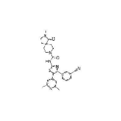 Cc1cc(-c2sc(NC(=O)N3CCC4(CCN(C)C4=O)CC3)nc2-c2cccc(C#N)c2)cc(C)n1